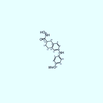 COc1ccc(Nc2ccc3c(c2)CCC(C(=O)NO)C3)cc1